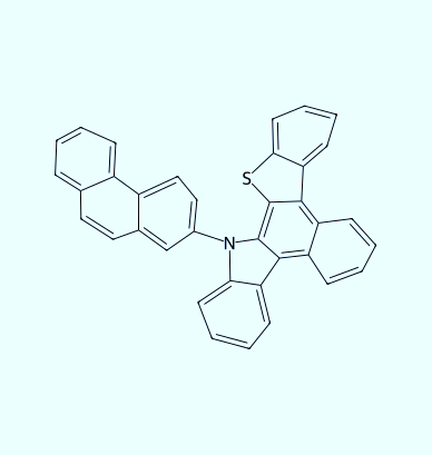 c1ccc2c(c1)ccc1cc(-n3c4ccccc4c4c5ccccc5c5c6ccccc6sc5c43)ccc12